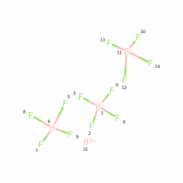 F[B-](F)(F)F.F[B-](F)(F)F.F[B-](F)(F)F.[B+3]